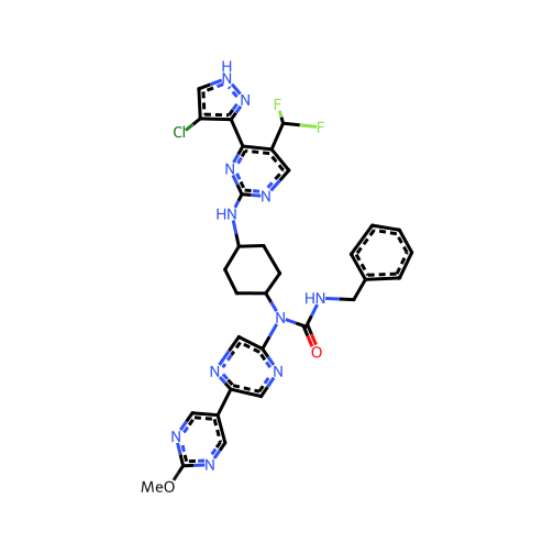 COc1ncc(-c2cnc(N(C(=O)NCc3ccccc3)C3CCC(Nc4ncc(C(F)F)c(-c5n[nH]cc5Cl)n4)CC3)cn2)cn1